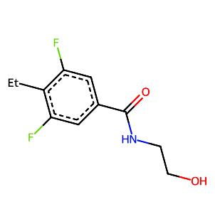 CCc1c(F)cc(C(=O)NCCO)cc1F